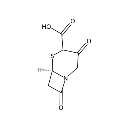 O=C(O)C1S[C@@H]2CC(=O)N2CC1=O